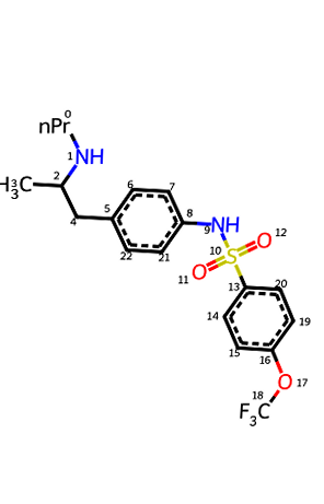 CCCNC(C)Cc1ccc(NS(=O)(=O)c2ccc(OC(F)(F)F)cc2)cc1